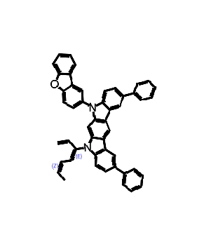 C=C/C(=C\C=C/C)n1c2ccc(-c3ccccc3)cc2c2cc3c4cc(-c5ccccc5)ccc4n(-c4ccc5oc6ccccc6c5c4)c3cc21